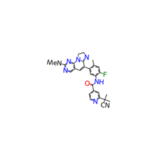 CNc1ncc2c(n1)N1CCN=C1C(c1cc(NC(=O)c3ccnc(C(C)(C)C#N)c3)c(F)cc1C)=C2